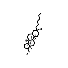 CCCCCCC1(O)CC[C@@]2(C)C(CC[C@@H]3[C@H]2CC[C@]2(C)C(OC)CC[C@@H]32)C1